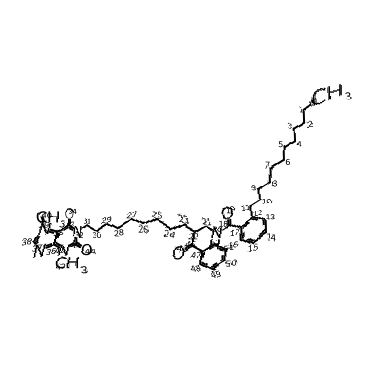 CCCCCCCCCCCCc1ccccc1C(=O)NCC(CCCCCCCCCn1c(=O)c2c(ncn2C)n(C)c1=O)C(=O)c1ccccc1